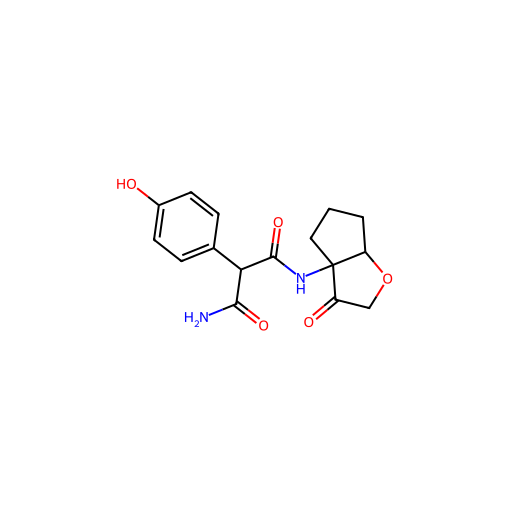 NC(=O)C(C(=O)NC12CCCC1OCC2=O)c1ccc(O)cc1